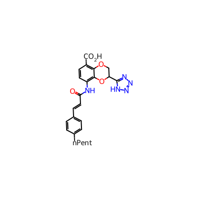 CCCCCc1ccc(/C=C/C(=O)Nc2ccc(C(=O)O)c3c2OC(c2nnn[nH]2)CO3)cc1